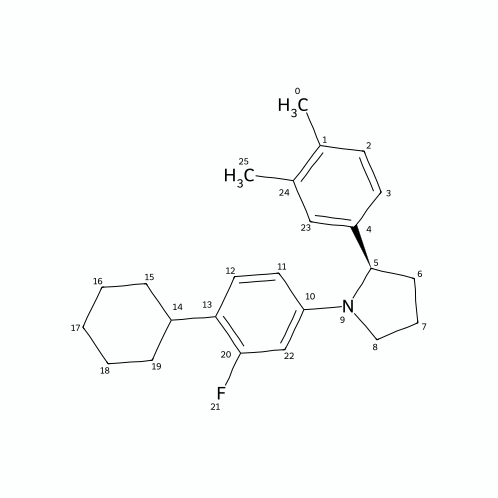 Cc1ccc([C@H]2CCCN2c2ccc(C3CCCCC3)c(F)c2)cc1C